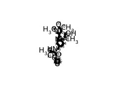 Cc1cc(-c2nc3cc(CNC(C(=O)OC4CCOC4)C(C)C)ccc3n2[C@@H](C)CO)cn(C)c1=O